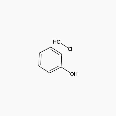 OCl.Oc1ccccc1